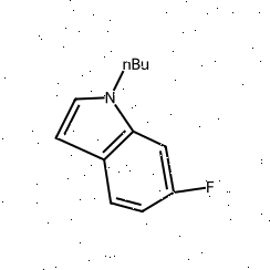 CCCCn1ccc2ccc(F)cc21